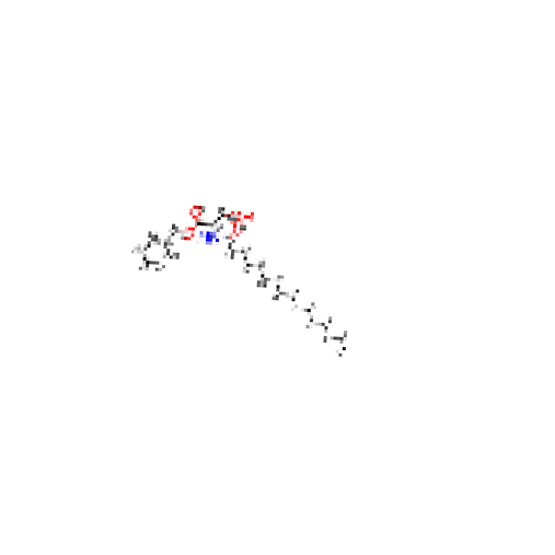 CCCCCCCCCCCCCCCC(=O)NC(CO)C(=O)OCc1ccccc1